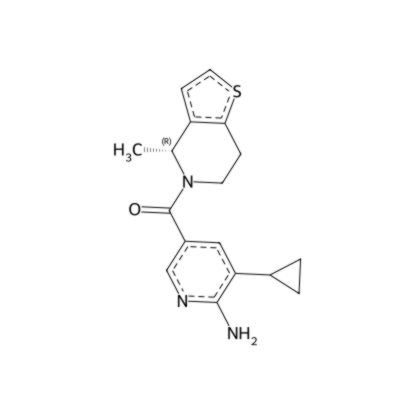 C[C@@H]1c2ccsc2CCN1C(=O)c1cnc(N)c(C2CC2)c1